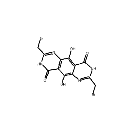 O=c1[nH]c(CBr)nc2c(O)c3c(=O)[nH]c(CBr)nc3c(O)c12